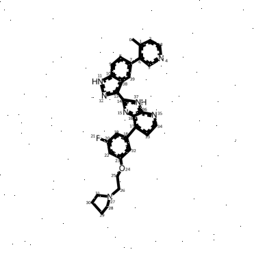 Cc1ccncc1-c1ccc2[nH]nc(-c3nc4c(-c5cc(F)cc(OCCN6CCCC6)c5)ccnc4[nH]3)c2c1